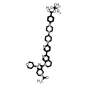 CC(=O)N1CCc2c(c(N3CCCc4cc(-c5ccc(N6CCC(N7CCN(c8ccc(C(=O)OC(C)(C)C)cc8)CC7)CC6)nc5)ncc43)nn2C2CCOCC2)C1